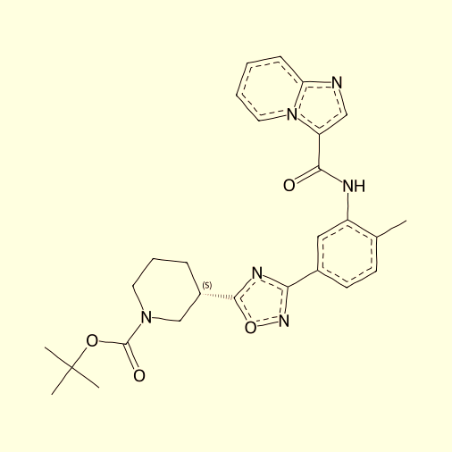 Cc1ccc(-c2noc([C@H]3CCCN(C(=O)OC(C)(C)C)C3)n2)cc1NC(=O)c1cnc2ccccn12